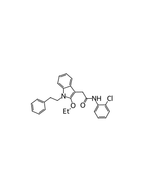 CCOc1c(CC(=O)Nc2ccccc2Cl)c2ccccc2n1CCc1ccccc1